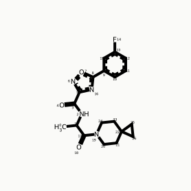 CC(NC(=O)c1noc(-c2cccc(F)c2)n1)C(=O)N1CCC2(CC1)CC2